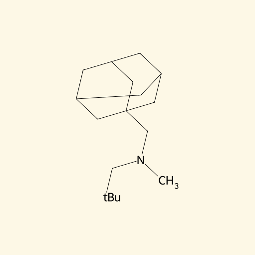 CN(CC(C)(C)C)CC12CC3CC(CC(C3)C1)C2